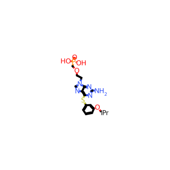 CC(C)Oc1cccc(Sc2nc(N)nc3c2ncn3CCOCP(=O)(O)O)c1